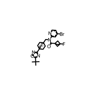 CC(C)(C)c1nc(C23CCC(CN(C(=O)C45CC(F)(C4)C5)c4cc(Br)ccn4)(CC2)CC3)no1